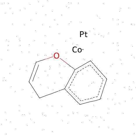 C1=COc2ccccc2C1.[Co].[Pt]